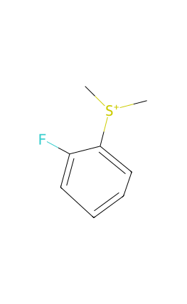 C[S+](C)c1ccccc1F